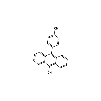 N#Cc1ccc(-c2c3ccccc3c(C#N)c3ccccc23)cc1